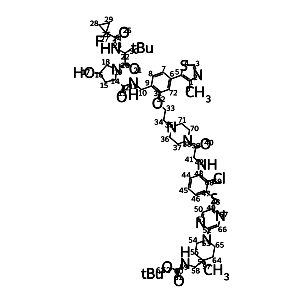 Cc1ncsc1-c1ccc(CNC(=O)[C@@H]2C[C@@H](O)CN2C(=O)[C@@H](NC(=O)C2(F)CC2)C(C)(C)C)c(OCCN2CCN(C(=O)CNc3cccc(Sc4cnc(N5CCC(C)(CNC(=O)OC(C)(C)C)CC5)cn4)c3Cl)CC2)c1